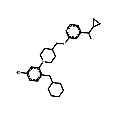 CCC(c1ccnc(OCC2CCN(c3cc(O)ccc3CC3CCCCC3)CC2)c1)C1CC1